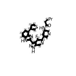 CC(C)CC(=O)Nc1cncc(-c2ncc3[nH]nc(-c4nc5c(-c6ccsc6)cccc5[nH]4)c3c2F)c1